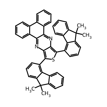 CC1(C)c2ccccc2-c2c(-c3sc(-c4cccc5c4-c4ccccc4C5(C)C)c4nc5c6ccccc6c6ccccc6c5nc34)cccc21